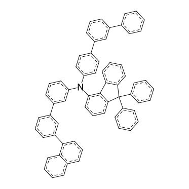 c1ccc(-c2cccc(-c3ccc(N(c4cccc(-c5cccc(-c6cccc7ccccc67)c5)c4)c4cccc5c4-c4ccccc4C5(c4ccccc4)c4ccccc4)cc3)c2)cc1